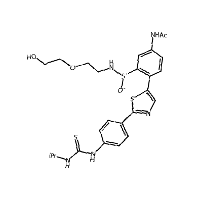 CC(=O)Nc1ccc(-c2cnc(-c3ccc(NC(=S)NC(C)C)cc3)s2)c([S+]([O-])NCCOCCO)c1